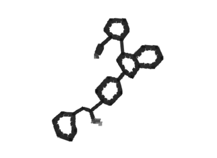 N#Cc1ccccc1-c1cc(-c2ccc(C(N)Cc3ccccc3)cc2)cc2ccccc12